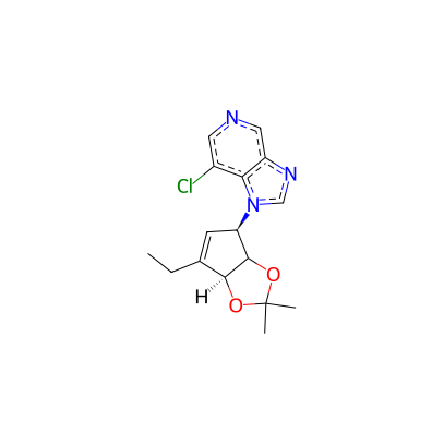 CCC1=C[C@@H](n2cnc3cncc(Cl)c32)C2OC(C)(C)O[C@@H]12